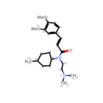 COc1ccc(C=CC(=O)N(CCN(C)C)C2CCC(C)CC2)cc1OC